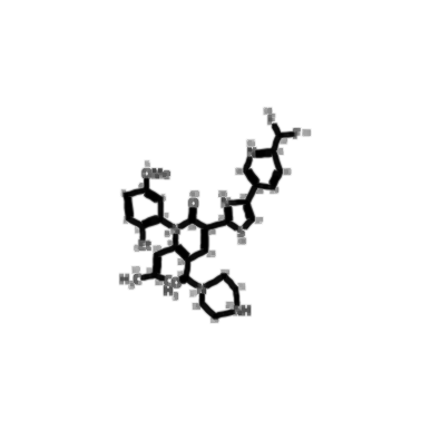 CCc1ccc(OC)cc1-n1c(C=C(C)C)c(C(=O)N2CCNCC2)cc(-c2nc(-c3ccc(C(F)F)nc3)cs2)c1=O